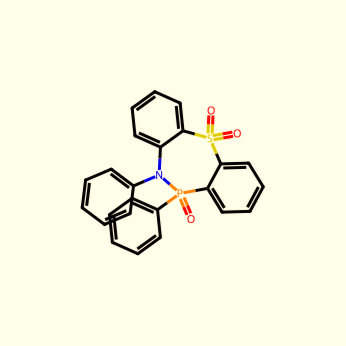 O=P1(c2ccccc2)c2ccccc2S(=O)(=O)c2ccccc2N1c1ccccc1